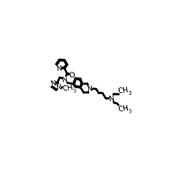 CCCN(CCC)CCCCN1CCc2cc(CN(Cc3nccn3C)C(=O)c3ccccn3)ccc2C1